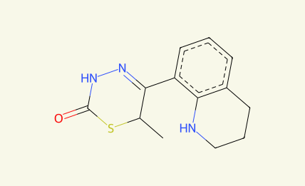 CC1SC(=O)NN=C1c1cccc2c1NCCC2